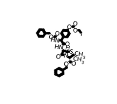 CC1(C)S[C@@H]2C(NC(=O)C(NC(=O)OCc3ccccc3)c3ccc(OC(=O)OCI)cc3)C(=O)N2[C@H]1C(=O)OCc1ccccc1